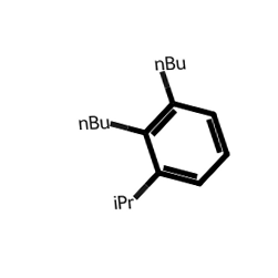 CCCCc1cccc(C(C)C)c1CCCC